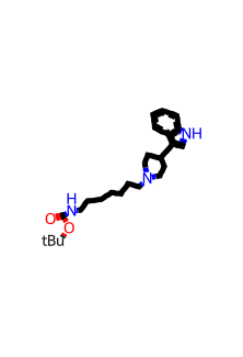 CC(C)(C)OC(=O)NCCCCCCCN1CCC(c2c[nH]c3ccccc23)CC1